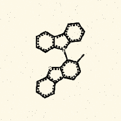 Cc1ccc2c(oc3ccccc32)c1-n1c2ccccc2c2ccccc21